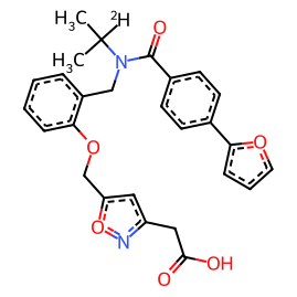 [2H]C(C)(C)N(Cc1ccccc1OCc1cc(CC(=O)O)no1)C(=O)c1ccc(-c2ccco2)cc1